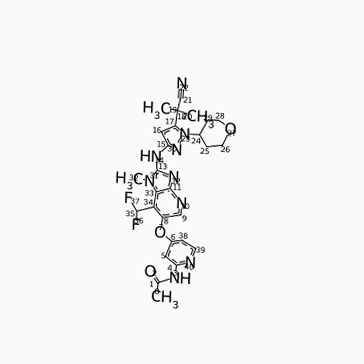 CC(=O)Nc1cc(Oc2cnc3nc(Nc4cc(C(C)(C)C#N)n(C5CCOCC5)n4)n(C)c3c2C(F)F)ccn1